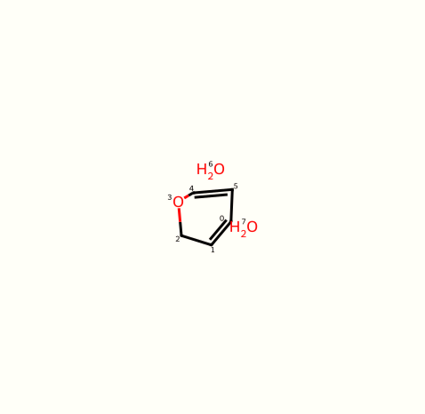 C1=CCOC=C1.O.O